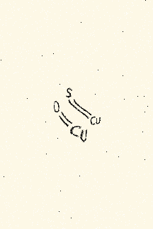 [O]=[Cu].[S]=[Cu]